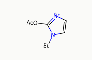 CCN1C=C[N+]=C1OC(C)=O